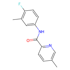 Cc1ccc(C(=O)Nc2ccc(F)c(C)c2)nc1